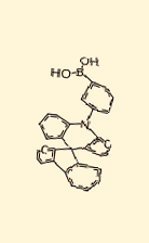 OB(O)c1cccc(N2c3ccccc3C3(c4ccccc4-c4ccccc43)c3ccccc32)c1